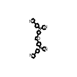 c1cncc(-c2ccc(N(c3ccncc3)c3ccc(-c4ccc(-c5ccc(N(c6ccncc6)c6ccc(-c7cccnc7)cc6)cc5)o4)cc3)cc2)c1